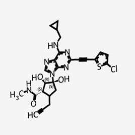 C#CCC1C[C@@](O)(n2cnc3c(NCC4CC4)nc(C#Cc4ccc(Cl)s4)nc32)[C@H](O)[C@H]1C(=O)NC